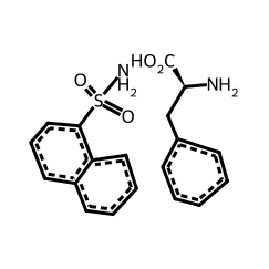 NS(=O)(=O)c1cccc2ccccc12.N[C@@H](Cc1ccccc1)C(=O)O